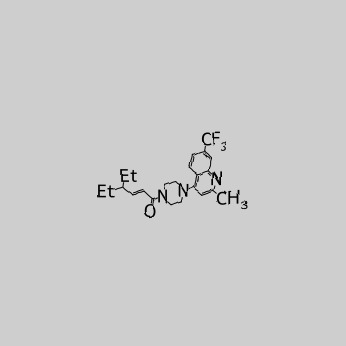 CCC(C=CC(=O)N1CCN(c2cc(C)nc3cc(C(F)(F)F)ccc23)CC1)CC